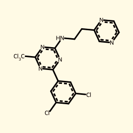 Clc1cc(Cl)cc(-c2nc(NCCc3cnccn3)nc(C(Cl)(Cl)Cl)n2)c1